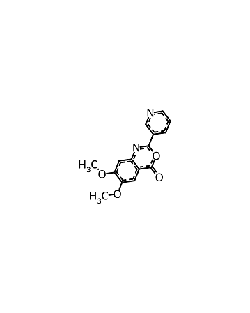 COc1cc2nc(-c3cccnc3)oc(=O)c2cc1OC